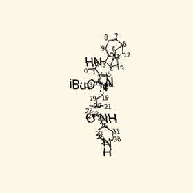 C=C(NC1C2CC3CCCC1C(C3)C2)c1cnn(CCC(C)(C)C(=O)NC2CCNCC2)c1OCC(C)C